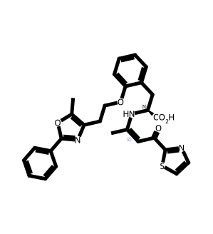 C/C(=C/C(=O)c1nccs1)N[C@@H](Cc1ccccc1OCCc1nc(-c2ccccc2)oc1C)C(=O)O